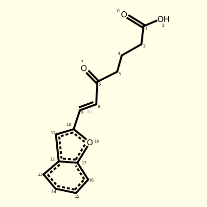 O=C(O)CCCC(=O)/C=C/c1cc2ccccc2o1